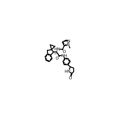 Cn1nccc1C(=O)N[C@H](C(=O)Nc1ccc(C2CCC(=O)N2)cc1)C1c2ccccc2CC12CC2